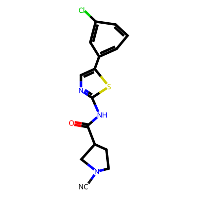 N#CN1CCC(C(=O)Nc2ncc(-c3cccc(Cl)c3)s2)C1